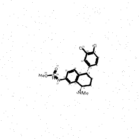 CN[C@H]1CC[C@@H](c2ccc(Cl)c(Cl)c2)c2ccc(N=[SH](=O)OC)cc21